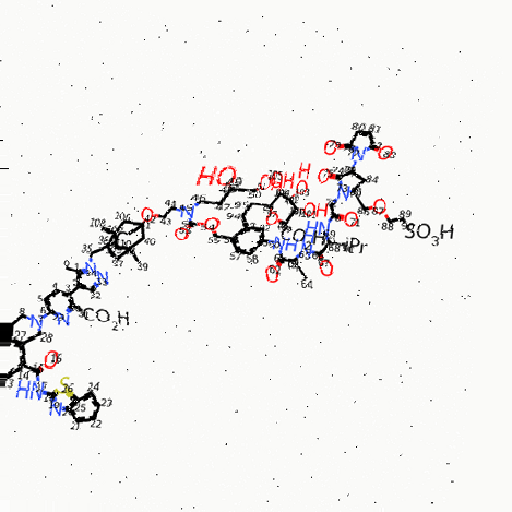 Cc1c(-c2ccc(N3CCc4cccc(C(=O)Nc5nc6ccccc6s5)c4C3)nc2C(=O)O)cnn1CC12CC3(C)CC(OCCN(CC[C@H](O)CO)C(=O)OCc4ccc(NC(=O)[C@H](C)NC(=O)[C@@H](NC(=O)CN5C(=O)[C@@H](N6C(=O)C=CC6=O)C[C@H]5COCCS(=O)(=O)O)C(C)C)cc4CC[C@@H]4O[C@H](C(=O)O)[C@@H](O)[C@H](O)[C@H]4O)(CC1(C)C3)C2